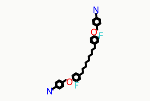 N#Cc1ccc(COc2ccc(CCCCCCCCCc3ccc(OCc4ccc(C#N)cc4)c(F)c3)cc2F)cc1